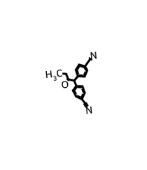 CCC(=O)C(c1ccc(C#N)cc1)c1ccc(C#N)cc1